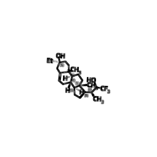 CC[C@]1(O)CC[C@@]2(C)C(=CC[C@H]3[C@@H]4CC[C@H]([C@H](C)C(O)C(F)(F)F)[C@@]4(C)CC[C@@H]32)C1